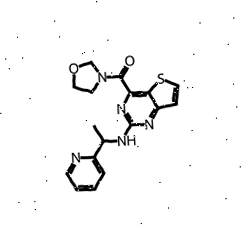 CC(Nc1nc(C(=O)N2CCOC2)c2sccc2n1)c1ccccn1